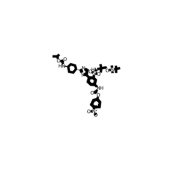 CC(C)OC(=O)N[C@H]1CC[C@H](c2ncc(-c3ccc(NC(=O)Oc4ccc([N+](=O)[O-])cc4)cc3S(=O)(=O)NC(C)(C)CO[Si](C)(C)C(C)(C)C)s2)CC1